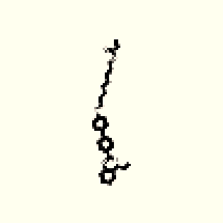 C=CC(=O)OCCCCCCCCOc1ccc(-c2ccc(C(=O)Oc3ccccc3CCC)cc2)cc1